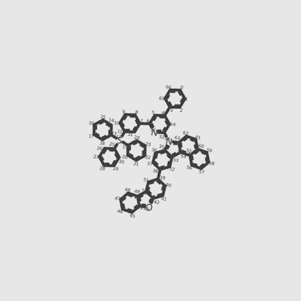 c1ccc(-c2cc(-c3cccc(S(c4ccccc4)(c4ccccc4)c4ccccc4)c3)nc(-n3c4ccc(-c5ccc6oc7ccccc7c6c5)cc4c4c5ccccc5ccc43)c2)cc1